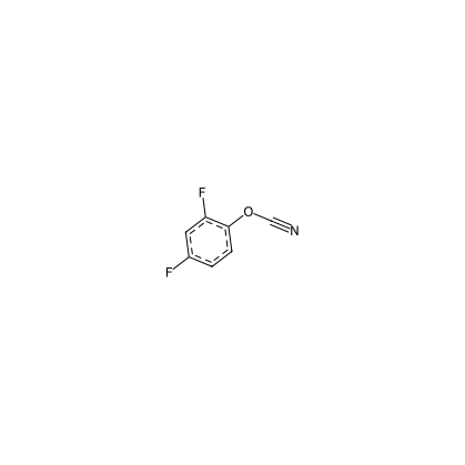 N#COc1ccc(F)cc1F